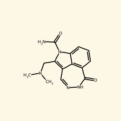 CN(C)Cc1c2c3c(c[c]cc3n1C(N)=O)C(=O)NN=C2